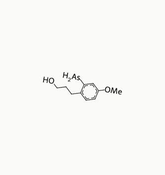 COc1ccc(CCCO)c([AsH2])c1